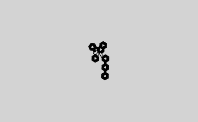 c1ccc(-c2ccc(-c3cccc(N(c4ccccc4)c4cc5ccccc5c5c4oc4ccccc45)c3)cc2)cc1